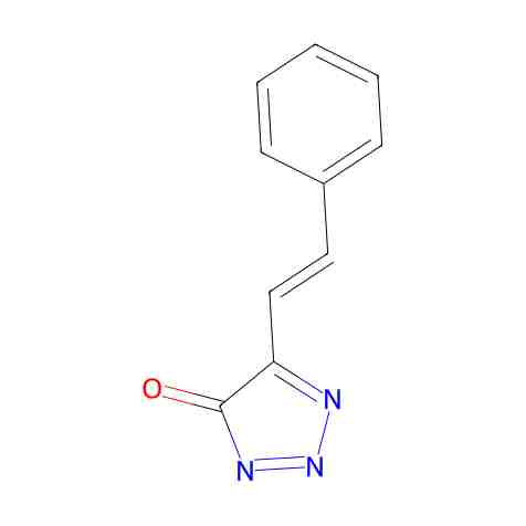 O=C1N=NN=C1C=Cc1ccccc1